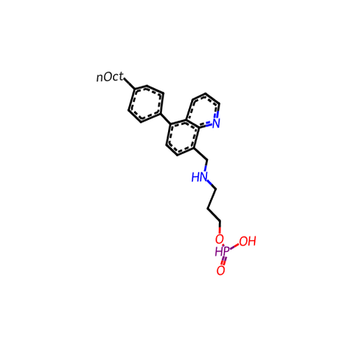 CCCCCCCCc1ccc(-c2ccc(CNCCCO[PH](=O)O)c3ncccc23)cc1